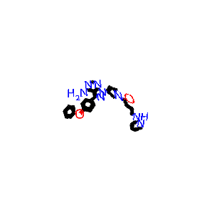 Nc1ncnc2c1c(-c1ccc(Oc3ccccc3)cc1)nn2C1CCN(C(=O)C=CCNc2ccccn2)C1